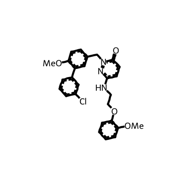 COc1ccccc1OCCNc1ccc(=O)n(Cc2ccc(OC)c(-c3cccc(Cl)c3)c2)n1